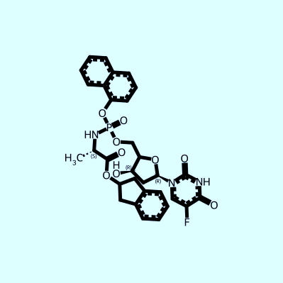 C[C@H](NP(=O)(OCC1O[C@@H](n2cc(F)c(=O)[nH]c2=O)C[C@H]1O)Oc1cccc2ccccc12)C(=O)OC1Cc2ccccc2C1